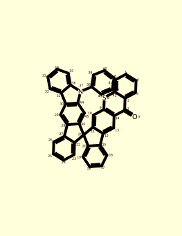 O=c1c2ccccc2sc2cc3c(cc12)-c1ccccc1C31c2ccccc2-c2cc3c4ccccc4n(-c4ccccc4)c3cc21